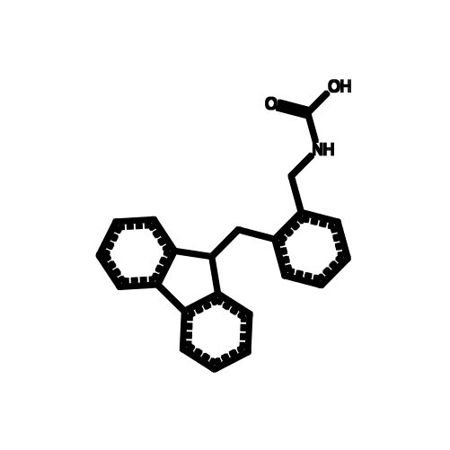 O=C(O)NCc1ccccc1CC1c2ccccc2-c2ccccc21